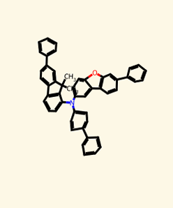 CC1(C)c2cc(-c3ccccc3)ccc2-c2cccc(N(c3ccc(-c4ccccc4)cc3)c3ccc4oc5cc(-c6ccccc6)ccc5c4c3)c21